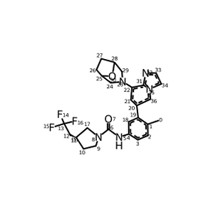 Cc1ccc(NC(=O)N2CC[C@@H](CC(F)(F)F)C2)cc1-c1cc(N2CC3CCC(C2)O3)c2nccn2c1